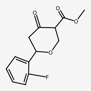 COC(=O)C1COC(c2ccccc2F)CC1=O